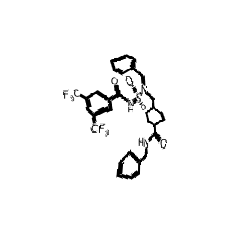 O=C(NS(=O)(=O)N(Cc1ccccc1)CC1CCC(C(=O)NCc2ccccc2)CC1)c1cc(C(F)(F)F)cc(C(F)(F)F)c1